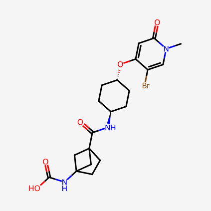 Cn1cc(Br)c(O[C@H]2CC[C@H](NC(=O)C34CCC(NC(=O)O)(C3)C4)CC2)cc1=O